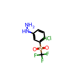 Cl.NNc1cccc(S(=O)(=O)C(F)(F)F)c1